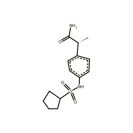 C[C@@H](C(N)=O)c1ccc(NS(=O)(=O)C2CCCC2)cc1